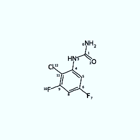 NC(=O)Nc1cc(F)cc(F)c1Cl